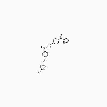 O=C(c1ccc(OCc2ccc(Cl)s2)cc1)N1CC(N2CCN(C(=O)c3cscn3)CC2)C1